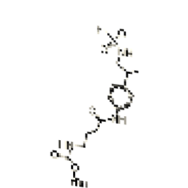 CC(CNS(=O)(=O)C(C)C)c1ccc(NC(=O)CCCNC(=O)OC(C)(C)C)cc1